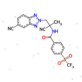 CC(C#N)(Cn1nc2ccc(C#N)cc2n1)NC(=O)c1ccc(S(=O)(=O)C(F)(F)F)cc1